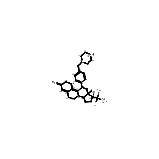 CC12CC(c3ccc(CN4CCNCC4)cc3)C3=C4CCC(=O)C=C4CCC3C1CC[C@@]2(O)C(F)(F)C(F)(F)F